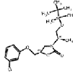 C[C@H](CO[Si](C)(C)C(C)(C)C)N1C[C@H](COc2cccc(Cl)c2)OC1=O